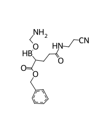 N#CCCNC(=O)CCC(BOCN)C(=O)OCc1ccccc1